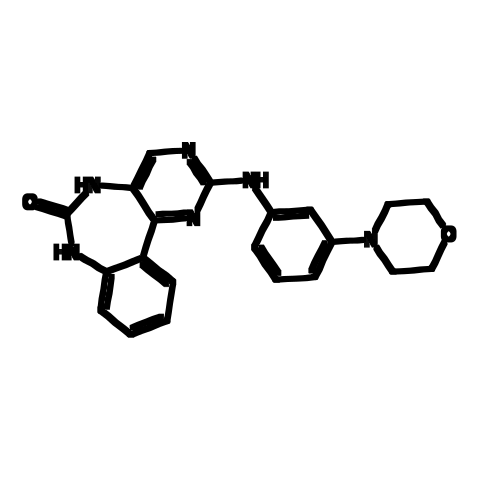 O=C1Nc2ccccc2-c2nc(Nc3cccc(N4CCOCC4)c3)ncc2N1